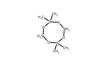 C[Si]1(C)O[SiH2]O[Si](C)(C)O[SiH2]O1